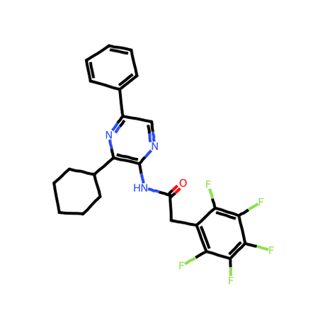 O=C(Cc1c(F)c(F)c(F)c(F)c1F)Nc1ncc(-c2ccccc2)nc1C1CCCCC1